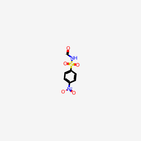 O=[C]NS(=O)(=O)c1ccc([N+](=O)[O-])cc1